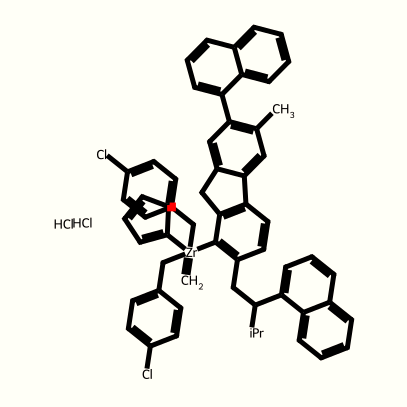 Cl.Cl.[CH2]=[Zr]([CH2]c1ccc(Cl)cc1)([CH2]c1ccc(Cl)cc1)([C]1=CC=CC1)[c]1c(CC(c2cccc3ccccc23)C(C)C)ccc2c1Cc1cc(-c3cccc4ccccc34)c(C)cc1-2